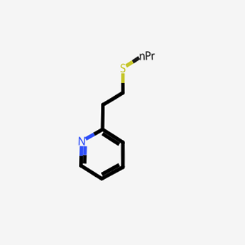 [CH2]CCSCCc1ccccn1